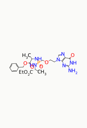 CCOC(=O)[C@@H](C)NP(=O)(COCCn1cnc2c(=O)[nH]c(N)nc21)NC(C)C(=O)OCc1ccccc1